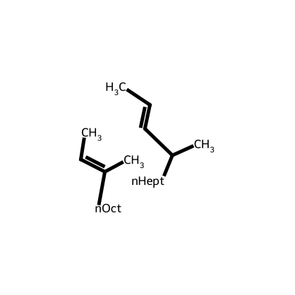 CC=C(C)CCCCCCCC.CC=CC(C)CCCCCCC